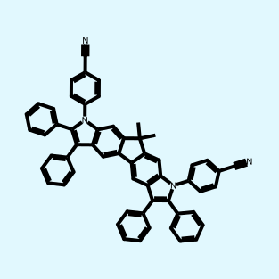 CC1(C)c2cc3c(cc2-c2cc4c(-c5ccccc5)c(-c5ccccc5)n(-c5ccc(C#N)cc5)c4cc21)c(-c1ccccc1)c(-c1ccccc1)n3-c1ccc(C#N)cc1